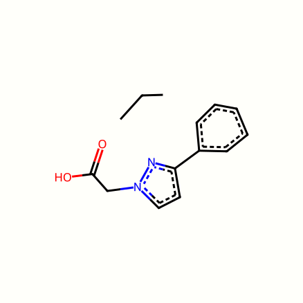 CCC.O=C(O)Cn1ccc(-c2ccccc2)n1